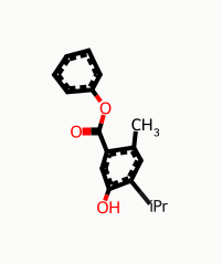 Cc1cc(C(C)C)c(O)cc1C(=O)Oc1ccccc1